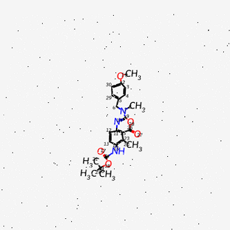 COc1ccc(CN(C)c2nc3ccc(NC(=O)OC(C)(C)C)c(C)c3c(=O)o2)cc1